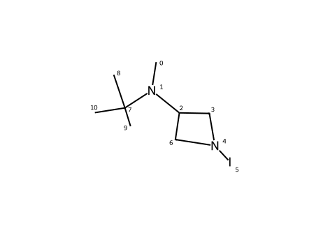 CN(C1CN(I)C1)C(C)(C)C